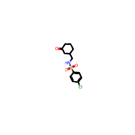 O=C1CCCC(CNS(=O)(=O)c2ccc(Cl)cc2)C1